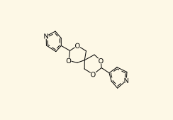 c1cc(C2OCC3(CO2)COC(c2ccncc2)OC3)ccn1